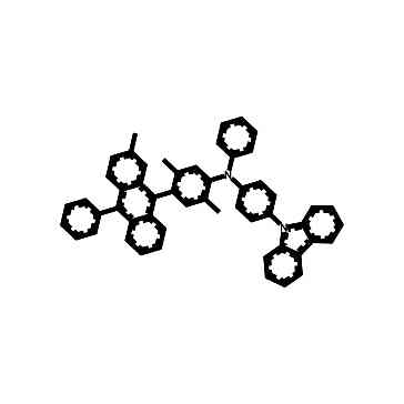 Cc1ccc2c(-c3ccccc3)c3ccccc3c(-c3cc(C)c(N(c4ccccc4)c4ccc(-n5c6ccccc6c6ccccc65)cc4)cc3C)c2c1